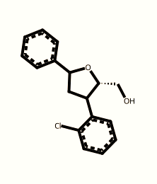 OC[C@H]1OC(c2ccccc2)CC1c1ccccc1Cl